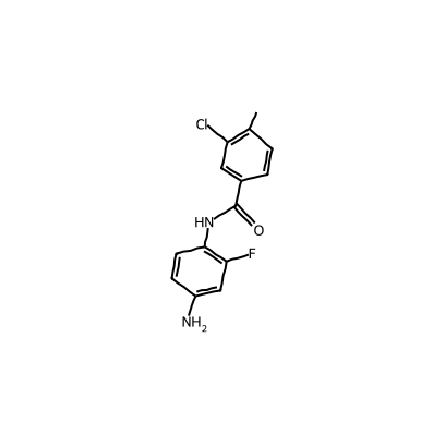 Cc1ccc(C(=O)Nc2ccc(N)cc2F)cc1Cl